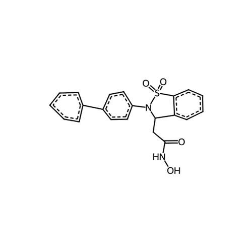 O=C(CC1c2ccccc2S(=O)(=O)N1c1ccc(-c2ccccc2)cc1)NO